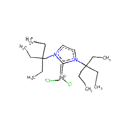 CCC(CC)(CC)n1ccn(C(CC)(CC)CC)[c]1=[Pd-2]([Cl])[Cl]